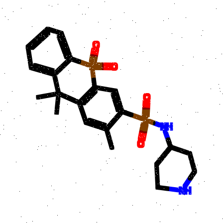 Cc1cc2c(cc1S(=O)(=O)NC1CCNCC1)S(=O)(=O)c1ccccc1C2(C)C